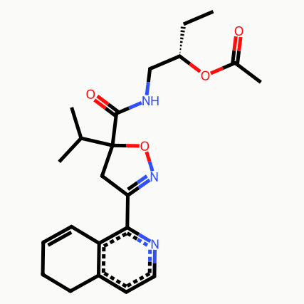 CC[C@@H](CNC(=O)C1(C(C)C)CC(c2nccc3c2C=CCC3)=NO1)OC(C)=O